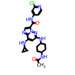 CC(=O)NC1CCC(Nc2cc(NC3CC3)c3ncc(C(=O)Nc4ccnc(Cl)c4)n3n2)CC1